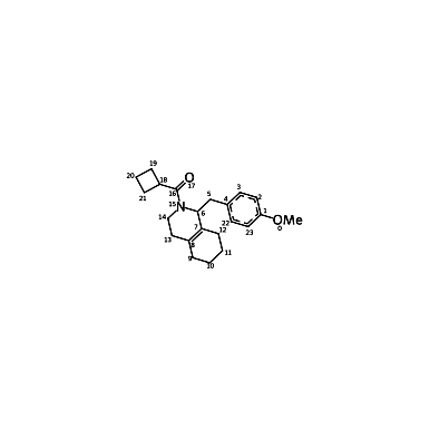 COc1ccc(CC2C3=C(CCCC3)CCN2C(=O)C2CCC2)cc1